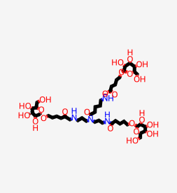 O=C(CCCCOC1OC(CO)C(O)[C@@H](O)C1O)CNCCCN(CCCNC(=O)CCCCOC1OC(CO)C(O)C(O)C1O)C(=O)CCCCNOC(=O)CCCCOC1OC(CO)C(O)C(O)C1O